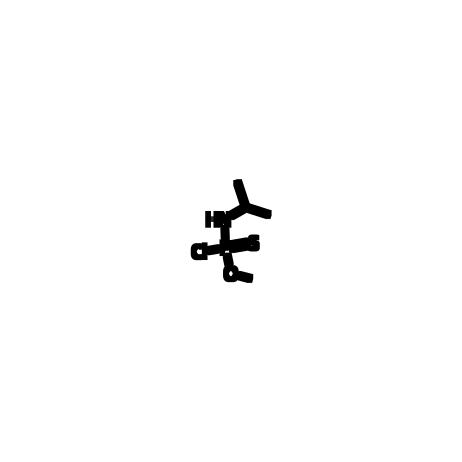 COP(=S)(Cl)NC(C)C